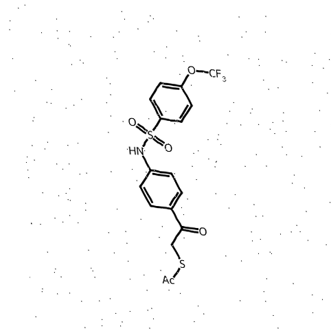 CC(=O)SCC(=O)c1ccc(NS(=O)(=O)c2ccc(OC(F)(F)F)cc2)cc1